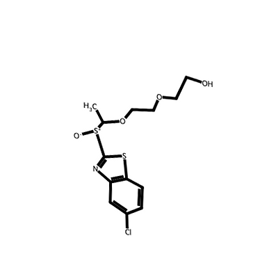 CC(OCCOCCO)[S+]([O-])c1nc2cc(Cl)ccc2s1